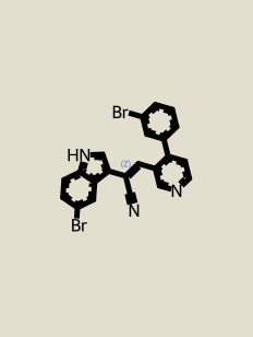 N#C/C(=C\c1cnccc1-c1cccc(Br)c1)c1c[nH]c2ccc(Br)cc12